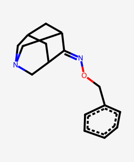 c1ccc(CON=C2C3CC4CC2CN(C4)C3)cc1